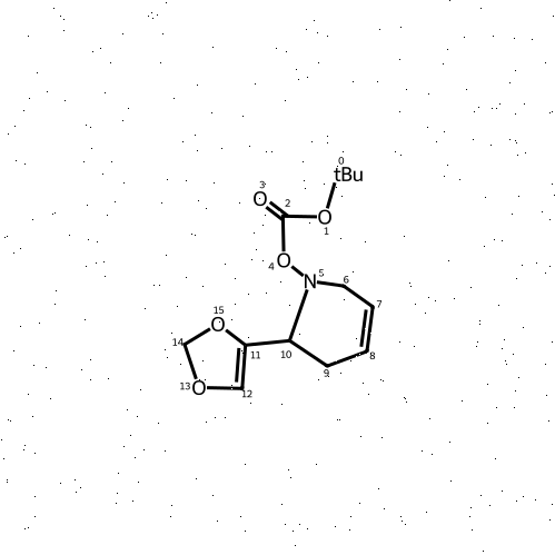 CC(C)(C)OC(=O)ON1CC=CCC1C1=COCO1